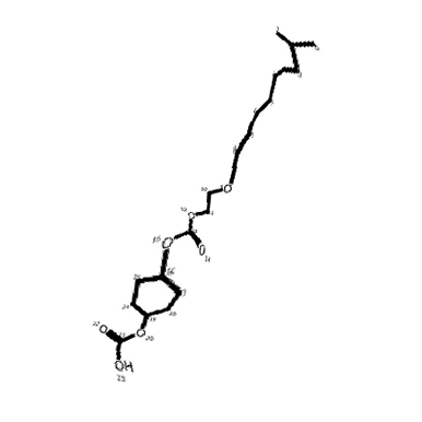 CC(C)CCCCCCOCCOC(=O)OC1CCC(OC(=O)O)CC1